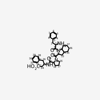 NC(Cc1ccccc1)C(=O)N1C(C(=O)N2CCCC2C(=O)NC(CC(=O)O)Cc2ccccc2)CC2CCCCC21